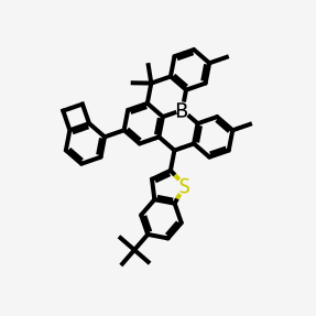 Cc1ccc2c(c1)B1c3cc(C)ccc3C(C)(C)c3cc(-c4cccc5c4CC5)cc(c31)C2c1cc2cc(C(C)(C)C)ccc2s1